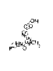 Cc1nc(C(=O)NCc2cccc(F)c2)cc(C2=NOC([C@H]3CO[C@H](CO)CO3)C2)n1